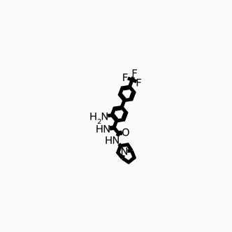 CN1C2CCC1CC(NC(=O)C(=N)c1ccc(-c3ccc(C(F)(F)F)cc3)cc1N)C2